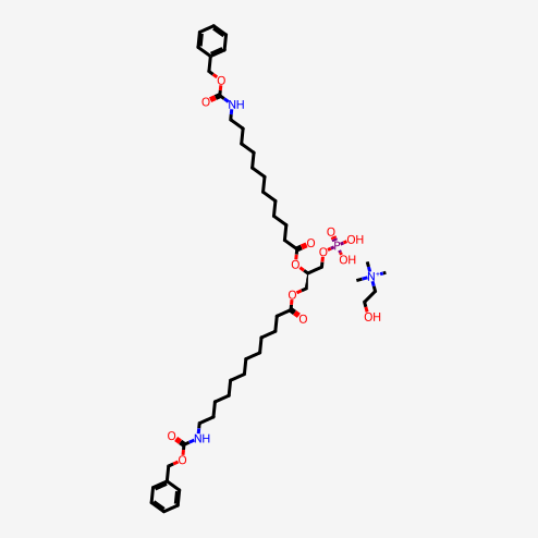 C[N+](C)(C)CCO.O=C(CCCCCCCCCCCNC(=O)OCc1ccccc1)OC[C@H](COP(=O)(O)O)OC(=O)CCCCCCCCCCCNC(=O)OCc1ccccc1